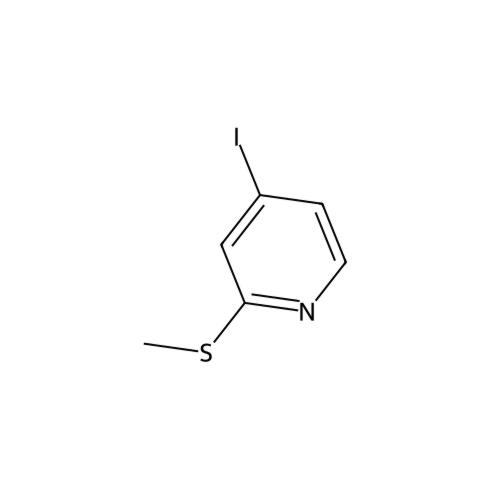 CSc1cc(I)ccn1